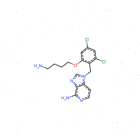 NCCCCOc1cc(Cl)cc(Cl)c1Cn1cnc2c(N)nccc21